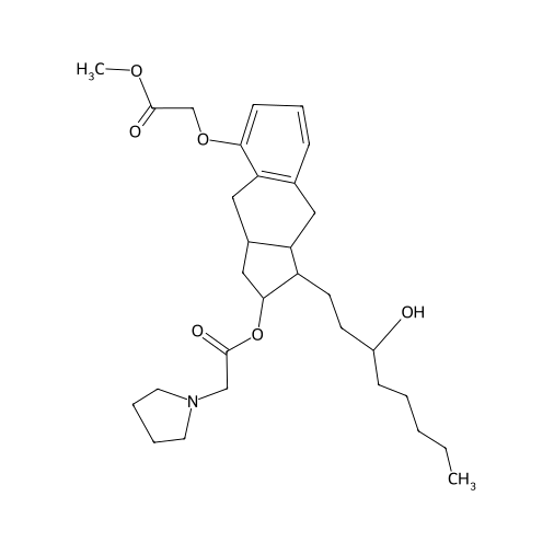 CCCCCC(O)CCC1C(OC(=O)CN2CCCC2)CC2Cc3c(cccc3OCC(=O)OC)CC21